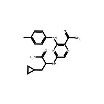 Cc1ccc(Nc2nc(NC(CC3CC3)C(N)=O)cnc2C(N)=O)cc1